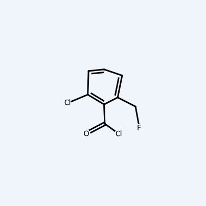 O=C(Cl)c1c(Cl)cccc1CF